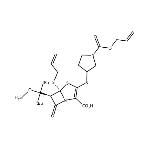 C=CCOC(=O)N1CCC(SC2=C(C(=O)O)N3C(=O)[C@@H](C(O[SiH3])(C(C)(C)C)C(C)(C)C)[C@@]3(SCC=C)S2)C1